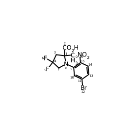 CC1(C(=O)O)CC(F)(F)CN1c1cc(Br)ccc1[N+](=O)[O-]